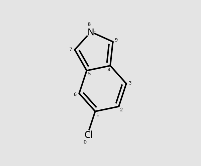 Clc1ccc2c(c1)=C[N]C=2